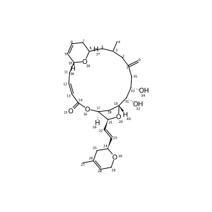 C=C1CC(C)C[C@@H]2CC=C[C@@H](C/C=C\C(=O)O[C@H]3C[C@@H](O[C@H]3/C=C/[C@@H]3CC(C)=CCO3)[C@@H](O)[C@@H](O)C1)O2